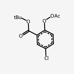 CC(=O)OOc1ccc(Cl)cc1C(=O)OC(C)(C)C